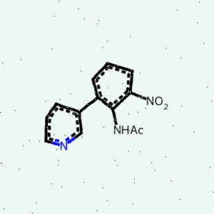 CC(=O)Nc1c(-c2cccnc2)cccc1[N+](=O)[O-]